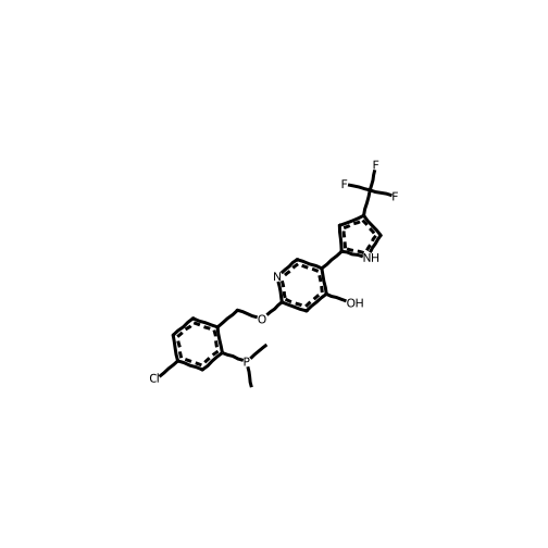 CP(C)c1cc(Cl)ccc1COc1cc(O)c(-c2cc(C(F)(F)F)c[nH]2)cn1